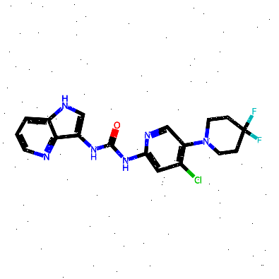 O=C(Nc1cc(Cl)c(N2CCC(F)(F)CC2)cn1)Nc1c[nH]c2cccnc12